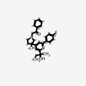 CCC(C)(O)c1cc(C2(C)CCN(CC(=O)c3ccccc3)C2)cc(-c2ccc(F)cc2)n1